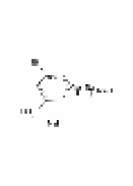 CCc1cccc(C(=O)O)c1.[NaH].[NaH].[NaH].[NaH]